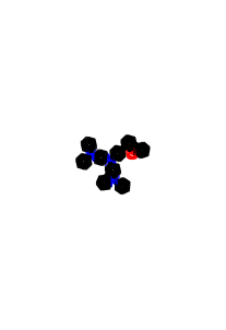 c1ccc(N(c2ccccc2)c2ccc(N(c3ccc(-c4cccc5c4oc4ccccc45)cc3)c3ccc4c(c3)c3ccccc3n4-c3ccccc3)cc2)cc1